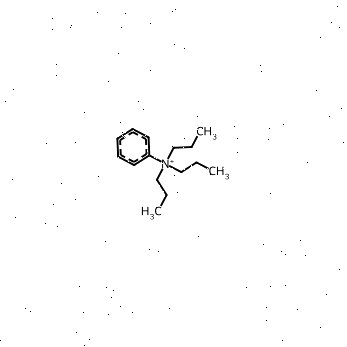 CCC[N+](CCC)(CCC)c1ccccc1